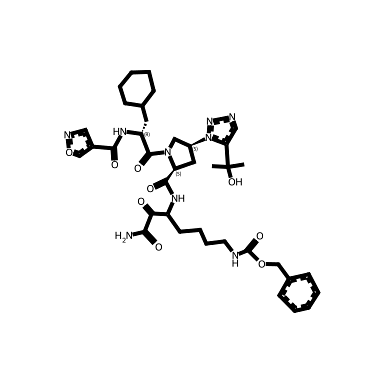 CC(C)(O)c1cnnn1[C@H]1C[C@@H](C(=O)NC(CCCCNC(=O)OCc2ccccc2)C(=O)C(N)=O)N(C(=O)[C@@H](CC2CCCCC2)NC(=O)c2cnoc2)C1